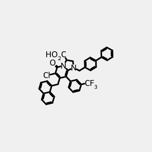 O=C(O)C1CN(Cc2ccc(-c3ccccc3)cc2)c2c(-c3cccc(C(F)(F)F)c3)c(Cc3cccc4ccccc34)c(Cl)c(=O)n21